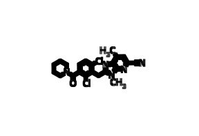 Cc1cc(C#N)nc2c1nc(Cc1c(Cl)ccc(C(=O)N3CCCCC3)c1Cl)n2C